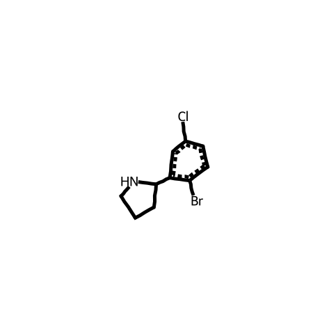 Clc1ccc(Br)c(C2CCCN2)c1